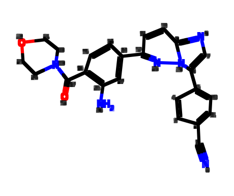 N#Cc1ccc(-c2cnc3ccc(-c4ccc(C(=O)N5CCOCC5)c(N)c4)nn23)cc1